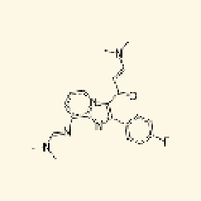 CN(C)C=Nc1cccn2c(C(=O)/C=C/N(C)C)c(-c3ccc(F)cc3)nc12